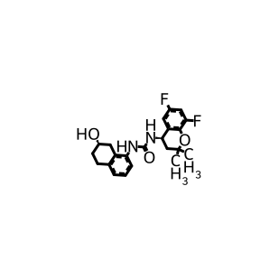 CC1(C)C[C@@H](NC(=O)Nc2cccc3c2C[C@H](O)CC3)c2cc(F)cc(F)c2O1